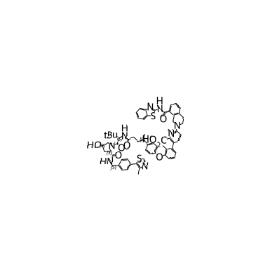 Cc1ncsc1-c1ccc([C@H](C)NC(=O)[C@@H]2C[C@@H](O)CN2C(=O)[C@@H](NC(=O)CC[C@@H](C)c2ccc(Oc3cccc(-c4ccc(N5CCc6cccc(C(=O)Nc7nc8ccccc8s7)c6C5)nc4C(=O)O)c3C)cc2)C(C)(C)C)cc1